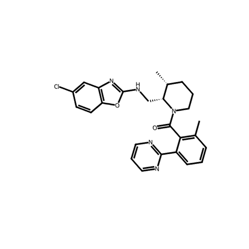 Cc1cccc(-c2ncccn2)c1C(=O)N1CCC[C@@H](C)[C@H]1CNc1nc2cc(Cl)ccc2o1